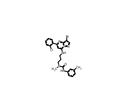 Cc1cccc(NC(=O)N(C)CCCNc2cc(-c3ccccc3Cl)nc3c(Br)cnn23)c1